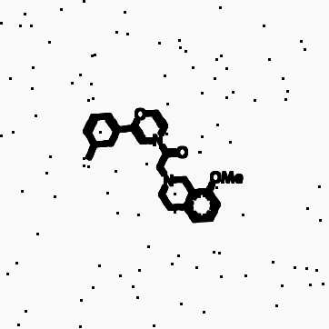 COc1cccc2c1CN(CC(=O)N1C=COC(C3=CC=CC(C)C3)=C1)CC2